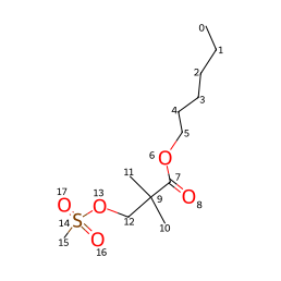 CCCCCCOC(=O)C(C)(C)COS(C)(=O)=O